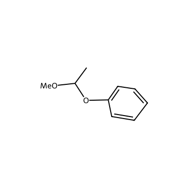 COC(C)Oc1ccccc1